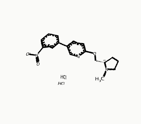 CN1CCC[C@H]1COc1ccc(-c2cccc([N+](=O)[O-])c2)cn1.Cl.Cl